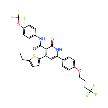 CCc1ccc(-c2cc(-c3ccc(OCCCC(F)(F)F)cc3)[nH]c(=O)c2C(=O)Nc2ccc(OC(F)(F)F)cc2)s1